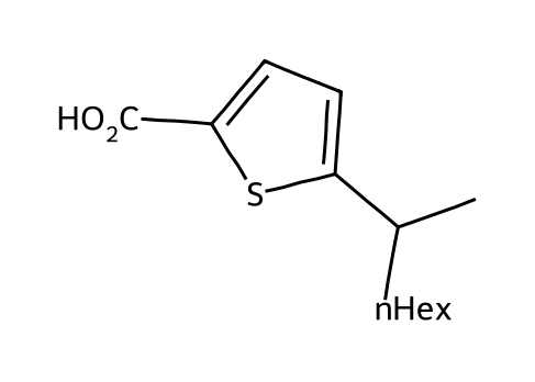 CCCCCCC(C)c1ccc(C(=O)O)s1